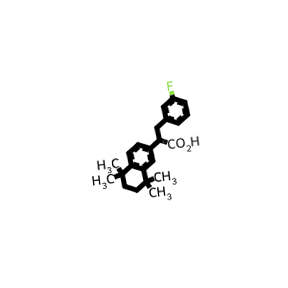 CC1(C)CCC(C)(C)c2cc(C(Cc3cccc(F)c3)C(=O)O)ccc21